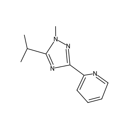 CC(C)c1nc(-c2ccccn2)nn1C